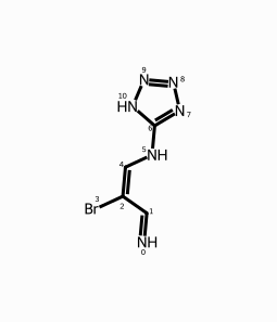 N=C/C(Br)=C\Nc1nnn[nH]1